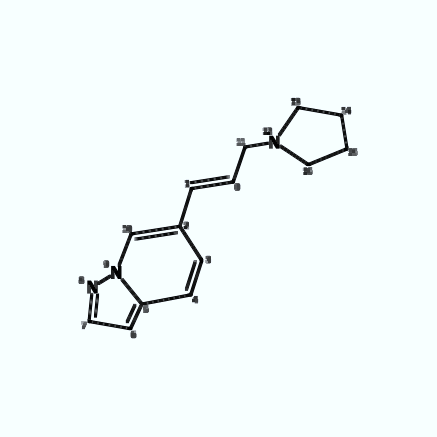 C(=C\c1ccc2ccnn2c1)/CN1CCCC1